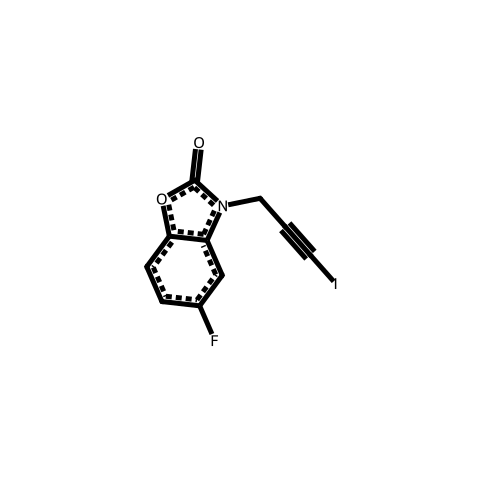 O=c1oc2ccc(F)cc2n1CC#CI